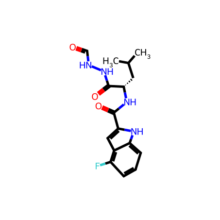 CC(C)C[C@H](NC(=O)c1cc2c(F)cccc2[nH]1)C(=O)NNC=O